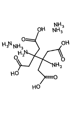 N.N.N.N.NC(CC(=O)O)(CC(=O)O)C(N)(CC(=O)O)CC(=O)O